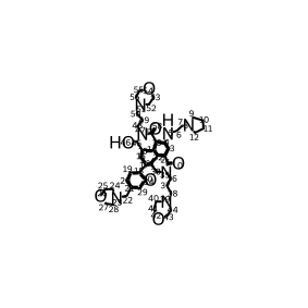 O=C1c2cc(NCCN3CCCC3)c3c4c(cc(-c5ccc(CN6CCOCC6)cc5)c(c24)C(=O)N1CCCN1CCOCC1)C(O)N(CCCN1CCOCC1)C3=O